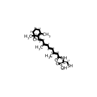 CC1=C(/C=C/C(C)=C/C=C/C(C)=C/C(=O)N[C@@H](CS)S(=O)O)C(C)(C)CCC1